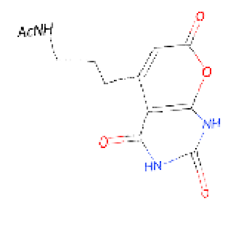 CC(=O)NCCCc1cc(=O)oc2[nH]c(=O)[nH]c(=O)c12